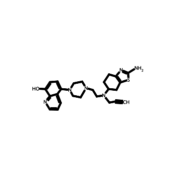 C#CCN(CCN1CCN(c2ccc(O)c3ncccc23)CC1)C1CCc2nc(N)sc2C1